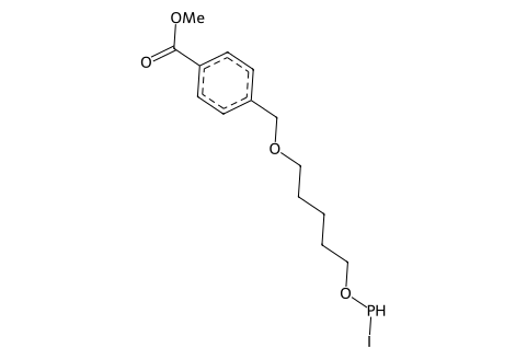 COC(=O)c1ccc(COCCCCCOPI)cc1